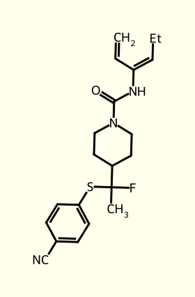 C=C/C(=C\CC)NC(=O)N1CCC(C(C)(F)Sc2ccc(C#N)cc2)CC1